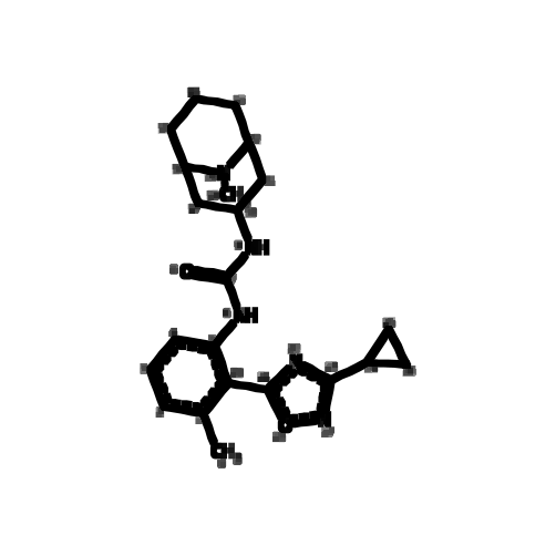 Cc1cccc(NC(=O)NC2CC3CCCC(C2)N3C)c1-c1nc(C2CC2)no1